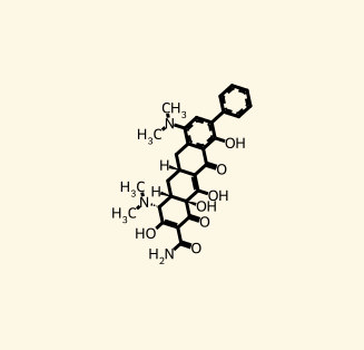 CN(C)c1cc(-c2ccccc2)c(O)c2c1C[C@H]1C[C@H]3[C@@H](N(C)C)C(O)=C(C(N)=O)C(=O)[C@@]3(O)C(O)=C1C2=O